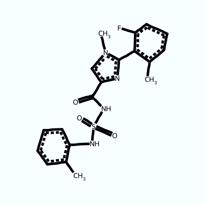 Cc1ccccc1NS(=O)(=O)NC(=O)c1cn(C)c(-c2c(C)cccc2F)n1